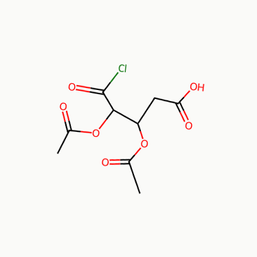 CC(=O)OC(CC(=O)O)C(OC(C)=O)C(=O)Cl